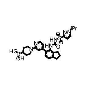 CC(C)n1ccc(S(=O)(=O)NC(=O)Nc2c(-c3ccnc(N4CCC(B(O)O)CC4)c3)ccc3c2CCC3)n1